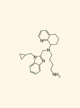 NCCCCN(Cc1nc2ccccc2n1CC1CC1)C1CCCc2cccnc21